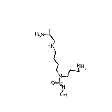 CC(N)CNCCCCN(CCCN)/[N+]([O-])=N/O